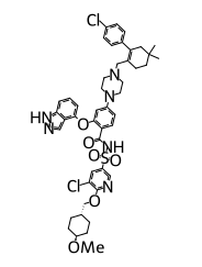 CO[C@H]1CC[C@H](COc2ncc(S(=O)(=O)NC(=O)c3ccc(N4CCN(CC5=C(c6ccc(Cl)cc6)CC(C)(C)CC5)CC4)cc3Oc3cccc4[nH]ncc34)cc2Cl)CC1